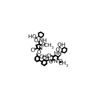 COc1nc(OCc2cccc(-c3cccc(COc4nc(OC)c(CN[C@@H]5CCCC[C@@H]5C(=O)O)cc4Cl)c3C)c2C)c(Cl)cc1CN[C@@H]1CCCC[C@@H]1C(=O)O